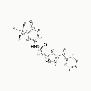 CC(c1ccccc1)c1nnc(NC(=O)Nc2ccc(Cl)c(C(F)(F)F)c2)s1